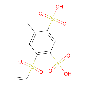 C=CS(=O)(=O)c1cc(C)c(S(=O)(=O)O)cc1S(=O)(=O)O